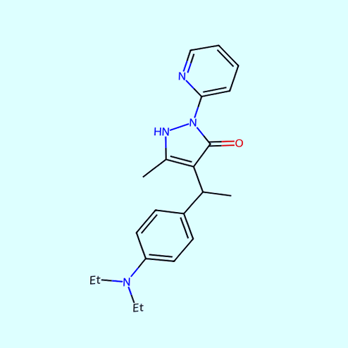 CCN(CC)c1ccc(C(C)c2c(C)[nH]n(-c3ccccn3)c2=O)cc1